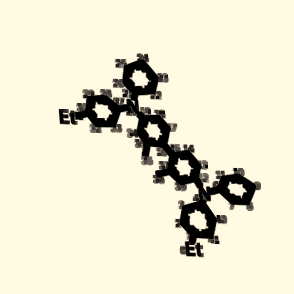 CCc1ccc(N(c2ccccc2)c2ccc(-c3ccc(N(c4ccccc4)c4ccc(CC)cc4)cc3C)c(C)c2)cc1